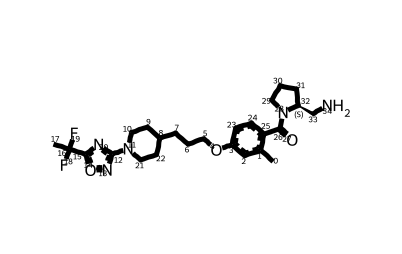 Cc1cc(OCCCC2CCN(c3noc(C(C)(F)F)n3)CC2)ccc1C(=O)N1CCC[C@H]1CN